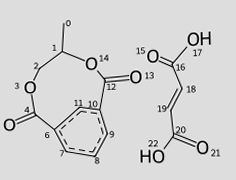 CC1COC(=O)c2cccc(c2)C(=O)O1.O=C(O)/C=C/C(=O)O